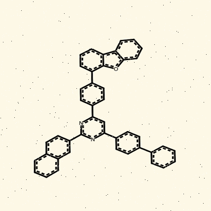 c1ccc(-c2ccc(-c3cc(-c4ccc(-c5cccc6c5oc5ccccc56)cc4)nc(-c4ccc5ccccc5c4)n3)cc2)cc1